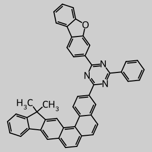 CC1(C)c2ccccc2-c2cc3ccc4ccc5cc(-c6nc(-c7ccccc7)nc(-c7ccc8c(c7)oc7ccccc78)n6)ccc5c4c3cc21